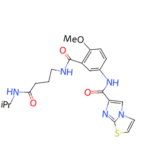 COc1ccc(NC(=O)c2cn3ccsc3n2)cc1C(=O)NCCCC(=O)NC(C)C